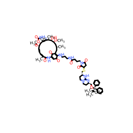 CO[C@H]1C=CC=C(C)C(=O)NC2=CC(=O)C(NCCCNC(=O)CCCN3C(=O)CC(SC[C@H]4CCN5CC[C@H](CO[Si](c6ccccc6)(c6ccccc6)C(C)(C)C)N=C5N4)C3=O)=C(C[C@@H](C)C[C@H](OC)[C@H](O)[C@@H](C)C=C(C)[C@@H]1OC(N)=O)C2=O